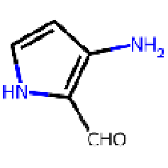 Nc1cc[nH]c1C=O